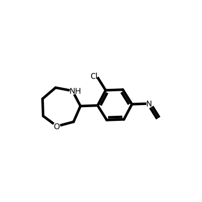 C=Nc1ccc(C2COCCCN2)c(Cl)c1